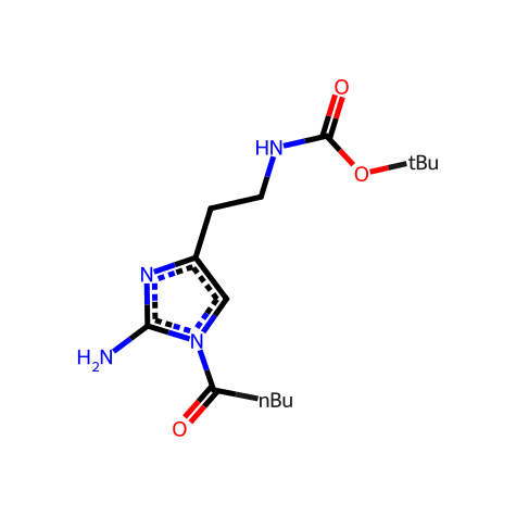 CCCCC(=O)n1cc(CCNC(=O)OC(C)(C)C)nc1N